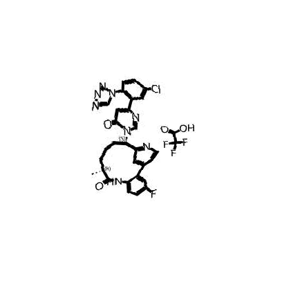 C[C@@H]1CCC[C@H](n2cnc(-c3cc(Cl)ccc3-n3cnnn3)cc2=O)c2cc(ccn2)-c2cc(F)ccc2NC1=O.O=C(O)C(F)(F)F